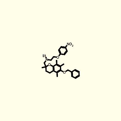 CCN(CCOc1ccc([N+](=O)[O-])cc1)CC1(C)CCc2c(C)c(OCc3ccccc3)c(C)c(C)c2O1